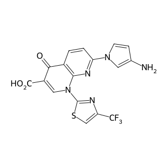 Nc1ccn(-c2ccc3c(=O)c(C(=O)O)cn(-c4nc(C(F)(F)F)cs4)c3n2)c1